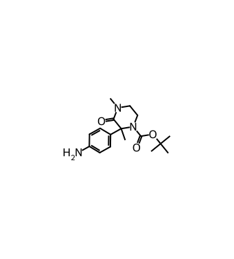 CN1CCN(C(=O)OC(C)(C)C)C(C)(c2ccc(N)cc2)C1=O